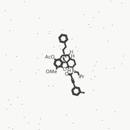 COc1cc(OC(C)=O)c2c3c1O[C@H]1[C@H](N(CC(C)C)C(=O)C#Cc4cccc(C)c4)CC[C@H]4[C@@H](C2)N(CCc2ccccc2)CC[C@@]341